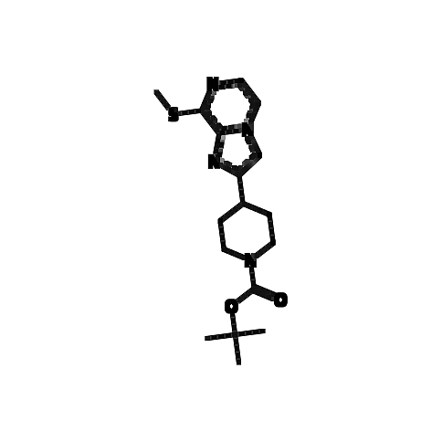 CSc1nccn2cc(C3CCN(C(=O)OC(C)(C)C)CC3)nc12